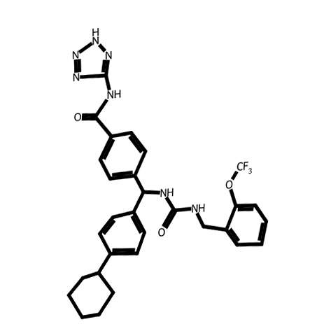 O=C(NCc1ccccc1OC(F)(F)F)NC(c1ccc(C(=O)Nc2nn[nH]n2)cc1)c1ccc(C2CCCCC2)cc1